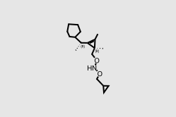 CC1=C([C@H](C)C2CCCCC2)[C@]1(C)CONOCC1CC1